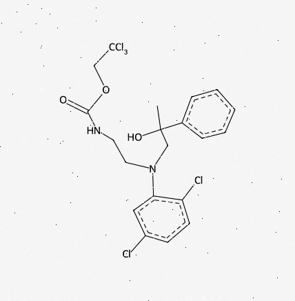 CC(O)(CN(CCNC(=O)OCC(Cl)(Cl)Cl)c1cc(Cl)ccc1Cl)c1ccccc1